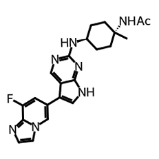 CC(=O)N[C@]1(C)CC[C@@H](Nc2ncc3c(-c4cc(F)c5nccn5c4)c[nH]c3n2)CC1